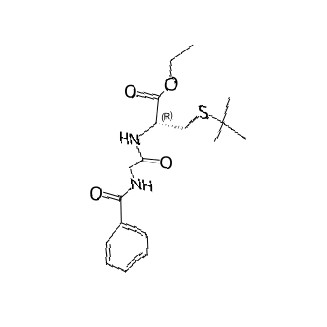 CCOC(=O)[C@H](CSC(C)(C)C)NC(=O)CNC(=O)c1ccccc1